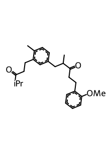 COc1ccccc1CCC(=O)C(C)Cc1ccc(C)c(CCC(=O)C(C)C)c1